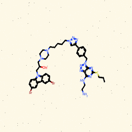 CCCSc1nc(NCCN)c2nnn(Cc3ccc(-c4cn(CCCCCN5CCN(CC(O)Cn6c7ccc(Br)cc7c7cc(Br)ccc76)CC5)nn4)cc3)c2n1